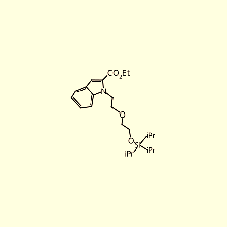 CCOC(=O)c1cc2ccccc2n1CCOCCO[Si](C(C)C)(C(C)C)C(C)C